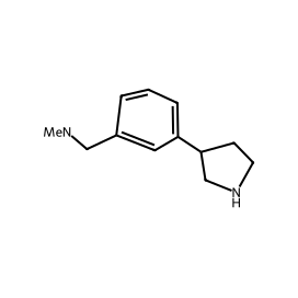 CNCc1cccc(C2CCNC2)c1